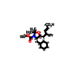 CC(C)C(C=CC(=O)O)C[C@@H]1OC(C)(C)N(C(=O)OC(C)(C)C)[C@H]1CC1CCCCC1